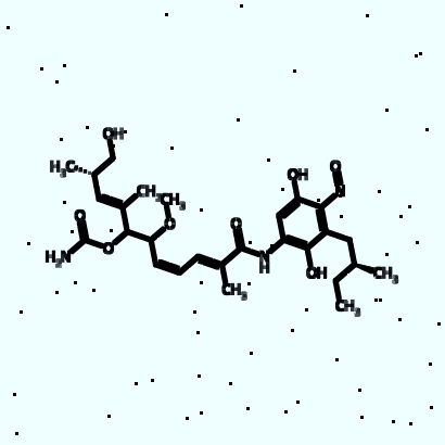 CC[C@H](C)Cc1c(O)c(NC(=O)/C(C)=C/C=C\C(OC)C(OC(N)=O)/C(C)=C/[C@H](C)CO)cc(O)c1N=O